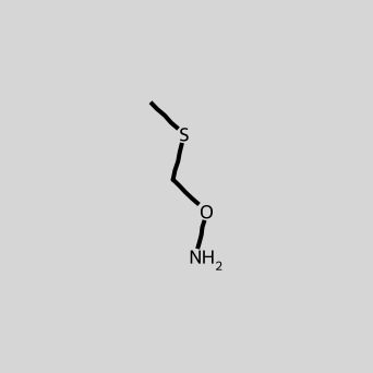 CSCON